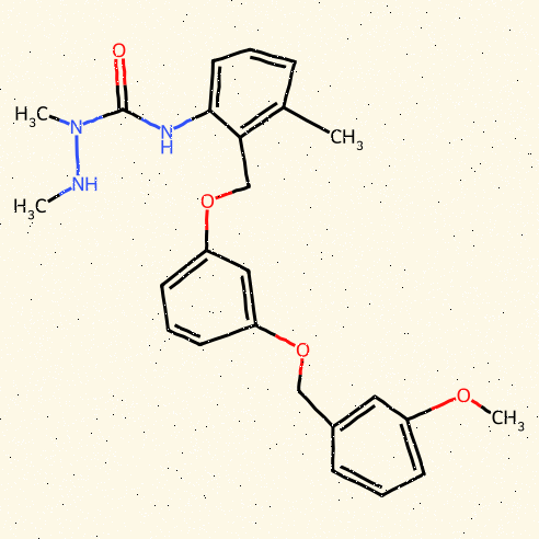 CNN(C)C(=O)Nc1cccc(C)c1COc1cccc(OCc2cccc(OC)c2)c1